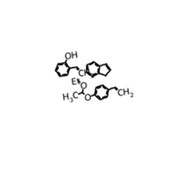 C1=Cc2ccccc2C1.C=Cc1ccc(OC(C)OCC)cc1.C=Cc1ccccc1O